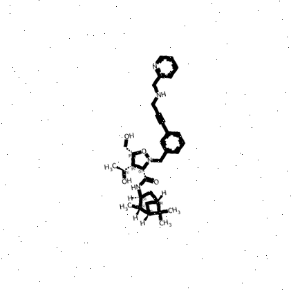 C[C@@H]1[C@@H](NC(=O)[C@@H]2[C@H]([C@H](C)O)[C@H](CO)ON2Cc2cccc(C#CCNCc3ccccn3)c2)C[C@H]2C[C@@H]1C2(C)C